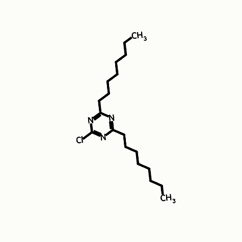 CCCCCCCCc1nc(Cl)nc(CCCCCCCC)n1